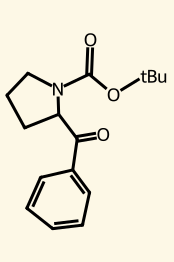 CC(C)(C)OC(=O)N1CCCC1C(=O)c1ccccc1